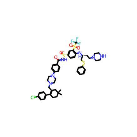 CC1(C)CCC(c2ccc(Cl)cc2)=C(CN2CCN(c3ccc(C(=O)N[S+]([O-])c4ccc(N[C@H](CCN5CCNCC5)CSc5ccccc5)c(S(=O)(=O)C(F)(F)F)c4)cc3)CC2)C1